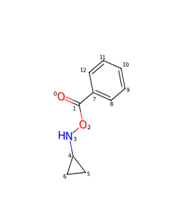 O=C(ONC1CC1)c1ccccc1